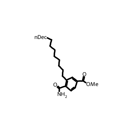 CCCCCCCCCCCCCCCCCCc1cc(C(=O)OC)ccc1C(N)=O